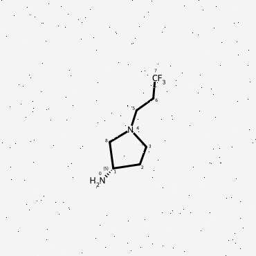 N[C@H]1CCN(CCC(F)(F)F)C1